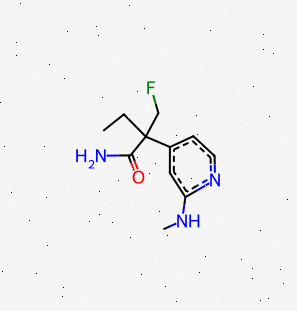 CCC(CF)(C(N)=O)c1ccnc(NC)c1